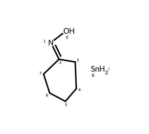 ON=C1CCCCC1.[SnH2]